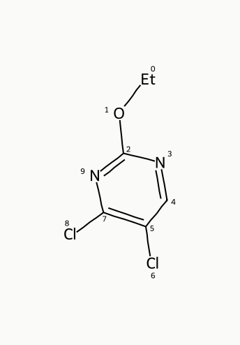 CCOc1ncc(Cl)c(Cl)n1